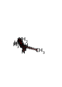 CCCCCCCCCCCCCCCCCCOC[C@@H](COP(=O)(O)OC[C@@]1(C)OC[C@](O)(c2ccc3c(N)ncnn23)[C@@H]1O)OCc1ccc(C#N)cn1